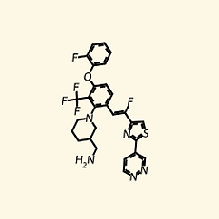 NCC1CCCN(c2c(/C=C(\F)c3csc(-c4ccnnc4)n3)ccc(Oc3ccccc3F)c2C(F)(F)F)C1